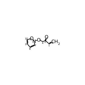 C=CC(=O)CON1C=CC=CO1